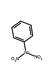 O=[N+]([O-])[N+](c1ccccc1)[N+](=O)[O-]